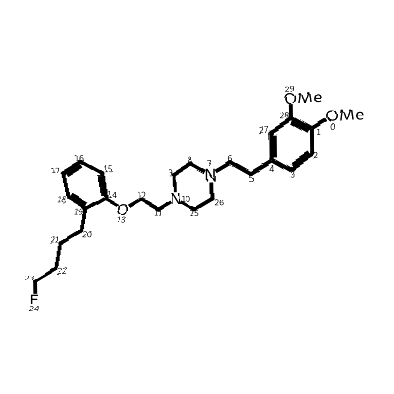 COc1ccc(CCN2CCN(CCOc3ccccc3CCCCF)CC2)cc1OC